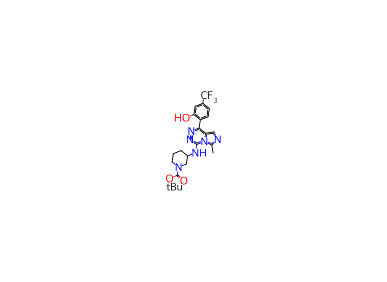 Cc1ncc2c(-c3ccc(C(F)(F)F)cc3O)nnc(N[C@@H]3CCCN(C(=O)OC(C)(C)C)C3)n12